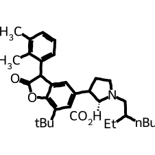 CCCCC(CC)CN1CCC(c2cc3c(c(C(C)(C)C)c2)OC(=O)C3c2cccc(C)c2C)[C@H]1C(=O)O